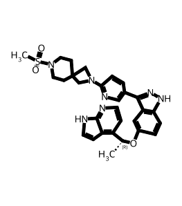 C[C@@H](Oc1ccc2[nH]nc(-c3ccc(N4CC5(CCN(S(C)(=O)=O)CC5)C4)nc3)c2c1)c1ccnc2[nH]ccc12